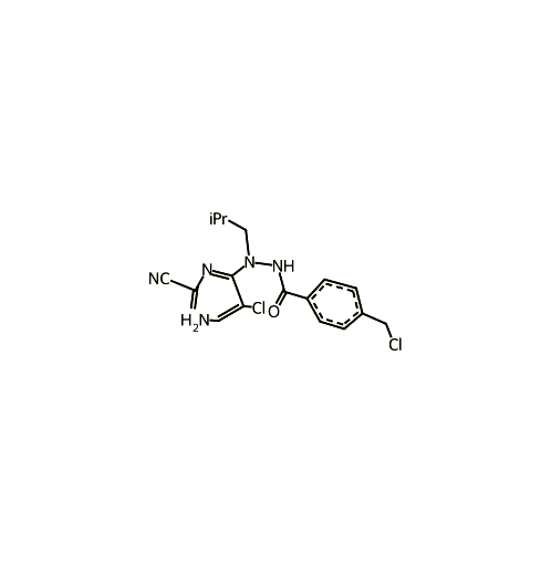 C=C(C#N)/N=C(\C(Cl)=C/N)N(CC(C)C)NC(=O)c1ccc(CCl)cc1